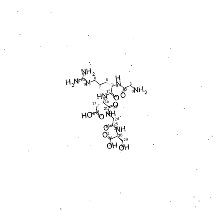 NCC(=O)N[C@@H](CCCN=C(N)N)C(=O)N[C@@H](CC(=O)O)C(=O)NCC(=O)N[C@@H](CO)C(=O)O